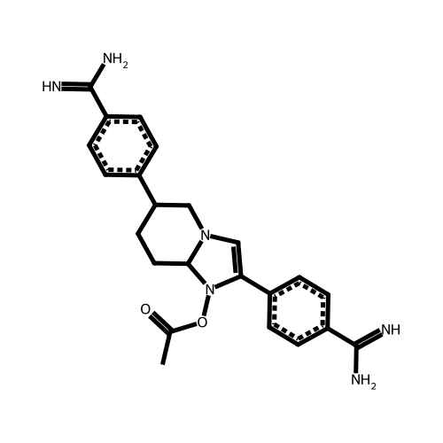 CC(=O)ON1C(c2ccc(C(=N)N)cc2)=CN2CC(c3ccc(C(=N)N)cc3)CCC21